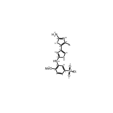 CCS(=O)(=O)c1ccc(OC)c(Nc2nc(-c3sc(N)nc3C)cs2)c1